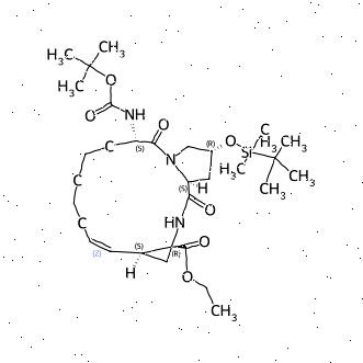 CCOC(=O)[C@@]12C[C@H]1/C=C\CCCCC[C@H](NC(=O)OC(C)(C)C)C(=O)N1C[C@H](O[Si](C)(C)C(C)(C)C)C[C@H]1C(=O)N2